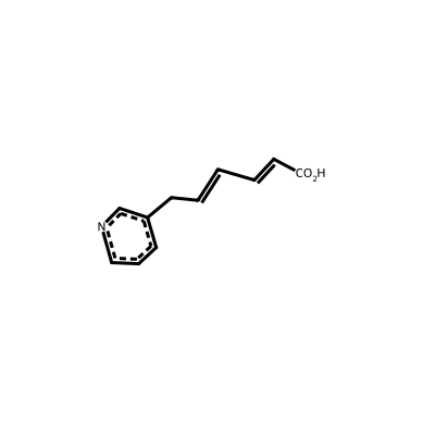 O=C(O)C=CC=CCc1cccnc1